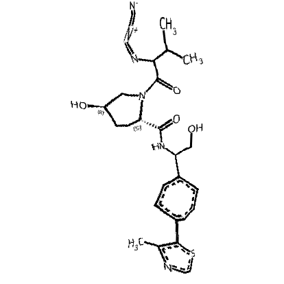 Cc1ncsc1-c1ccc(C(CO)NC(=O)[C@@H]2C[C@@H](O)CN2C(=O)C(N=[N+]=[N-])C(C)C)cc1